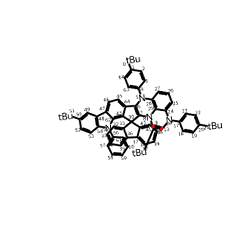 CC(C)(C)c1ccc(N2C3=C(N4c5cc(C(C)(C)C)ccc5N(c5ccc(C(C)(C)C)cc5)c5cccc2c54)C2(c4ccccc4-c4ccccc42)c2c3ccc3c4cc(C(C)(C)C)ccc4n(-c4ccccc4)c23)cc1